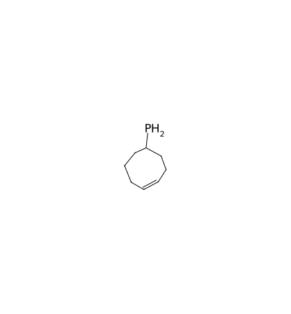 PC1CC/C=C\CCC1